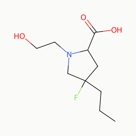 CCCC1(F)CC(C(=O)O)N(CCO)C1